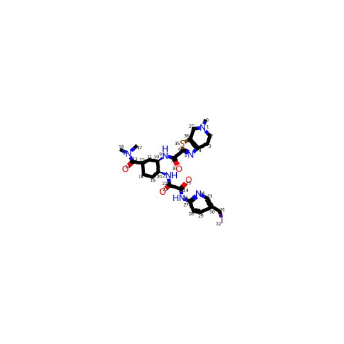 CN1CCc2nc(C(=O)N[C@@H]3CC(C(=O)N(C)C)CC[C@@H]3NC(=O)C(=O)Nc3ccc(CI)cn3)sc2C1